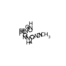 CN1CCN(c2ccc(Nc3cc(NC4CCCNC4=O)c(C(F)(F)F)cn3)c(C3CC3)c2)CC1